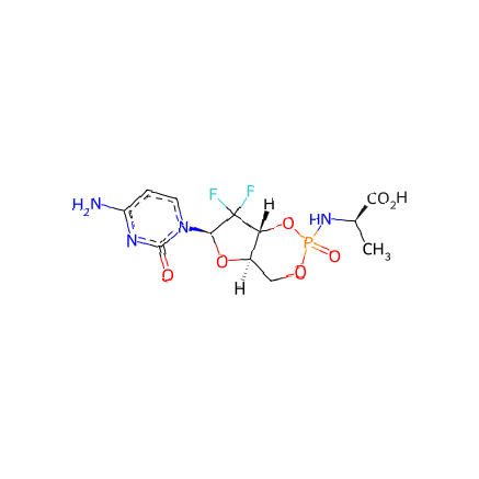 C[C@@H](NP1(=O)OC[C@H]2O[C@@H](n3ccc(N)nc3=O)C(F)(F)[C@@H]2O1)C(=O)O